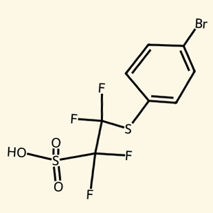 O=S(=O)(O)C(F)(F)C(F)(F)Sc1ccc(Br)cc1